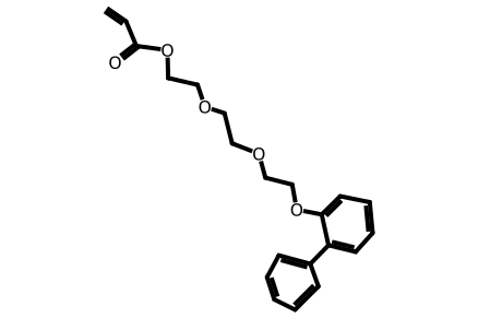 C=CC(=O)OCCOCCOCCOc1ccccc1-c1ccccc1